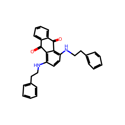 O=C1c2ccccc2C(=O)c2c(NCCc3ccccc3)ccc(NCCc3ccccc3)c21